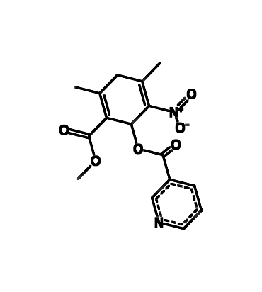 COC(=O)C1=C(C)CC(C)=C([N+](=O)[O-])C1OC(=O)c1cccnc1